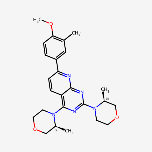 [CH2]c1cc(-c2ccc3c(N4CCOC[C@@H]4C)nc(N4CCOC[C@@H]4C)nc3n2)ccc1OC